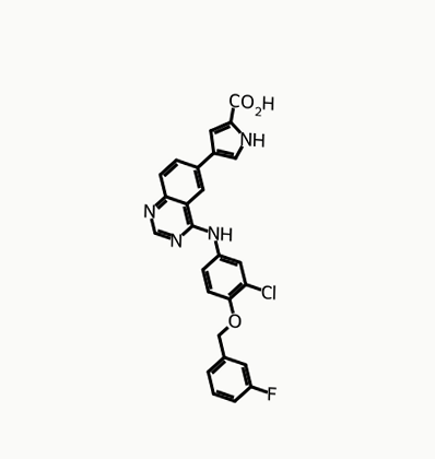 O=C(O)c1cc(-c2ccc3ncnc(Nc4ccc(OCc5cccc(F)c5)c(Cl)c4)c3c2)c[nH]1